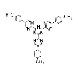 Cc1ccc(-c2cnc(-c3nc(-c4ncc(-c5ccc(C)cc5)cn4)nc(-c4ncc(-c5ccc(C)cc5)cn4)n3)nc2)cc1